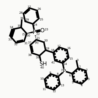 Cc1ccccc1P(c1ccccc1)c1cccc(C2C[C@@H](P(=O)(C3C=CC=CC3)[C@H]3C=CC#CC3C)C=CC2S)c1